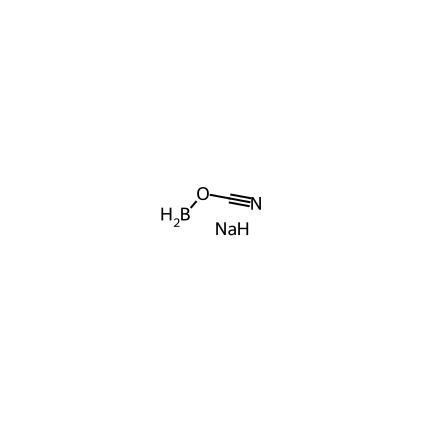 BOC#N.[NaH]